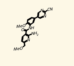 COCc1ccc(C(=O)Nc2cc(-c3cnc(C#N)nc3)ccc2OC)c(N)n1